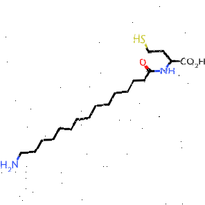 NCCCCCCCCCCCCCCC(=O)NC(CCS)C(=O)O